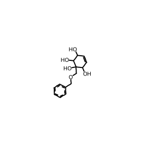 OC1C=CC(O)C(O)(COCc2ccccc2)C1O